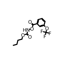 CCCCOC(=O)NOC(=O)c1cccc(OC(F)(F)F)c1